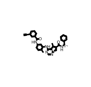 C#Cc1cccc(C(=O)Nc2ccc(C)c(Nc3ncnn4cc(C(=O)N[C@@H](C)c5ccccc5)c(C)c34)c2)c1